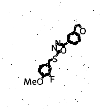 COc1ccc(CSc2nnc(-c3ccc4c(c3)CCO4)o2)cc1F